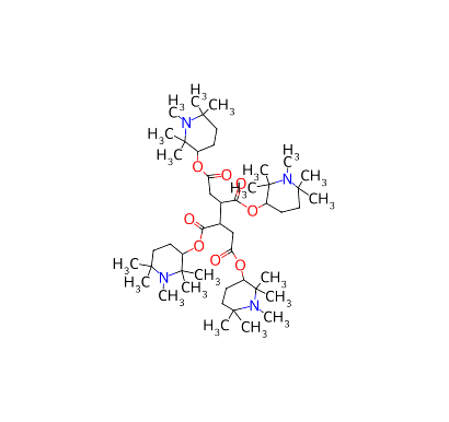 CN1C(C)(C)CCC(OC(=O)CC(C(=O)OC2CCC(C)(C)N(C)C2(C)C)C(CC(=O)OC2CCC(C)(C)N(C)C2(C)C)C(=O)OC2CCC(C)(C)N(C)C2(C)C)C1(C)C